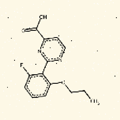 CCCOc1cccc(F)c1-c1nccc(C(=O)O)n1